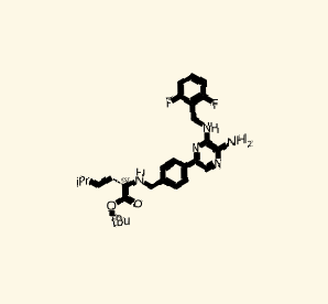 CC(C)CC[C@H](NCc1ccc(-c2cnc(N)c(NCc3c(F)cccc3F)n2)cc1)C(=O)OC(C)(C)C